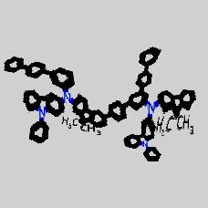 CC1(C)c2ccccc2-c2ccc(N(c3cc(-c4ccc(-c5ccccc5)cc4)cc(-c4ccc(-c5ccc6c(c5)-c5ccc(N(c7cccc(-c8ccc(-c9ccccc9)cc8)c7)c7ccc8c(c7)c7ccccc7n8-c7ccccc7)cc5C6(C)C)cc4)c3)c3ccc4c(c3)c3ccccc3n4-c3ccccc3)cc21